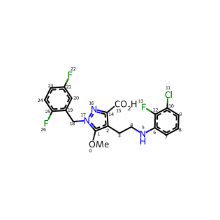 COc1c(CCNc2cccc(Cl)c2F)c(C(=O)O)nn1Cc1cc(F)ccc1F